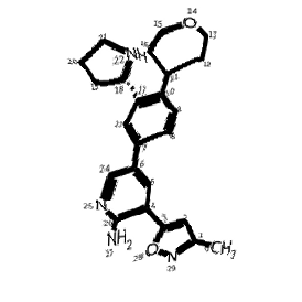 Cc1cc(-c2cc(-c3ccc(C4CCOCC4)c([C@@H]4CCCN4)c3)cnc2N)on1